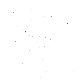 COCc1cc(C(C)(C)c2ccc(C(C)(C)c3cc(C)c(O)c(C(C)O)c3)cc2)cc(C)c1O